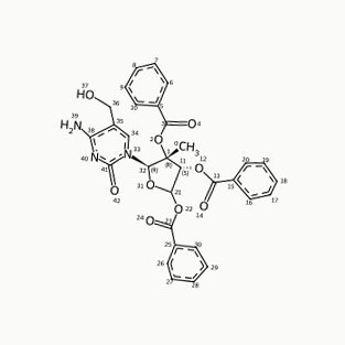 C[C@@]1(OC(=O)c2ccccc2)[C@H](OC(=O)c2ccccc2)C(OC(=O)c2ccccc2)O[C@H]1n1cc(CO)c(N)nc1=O